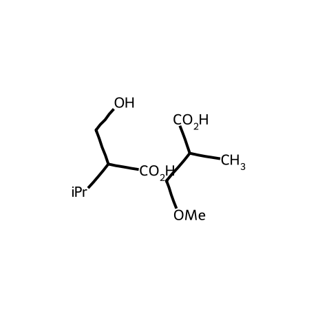 CC(C)C(CO)C(=O)O.COCC(C)C(=O)O